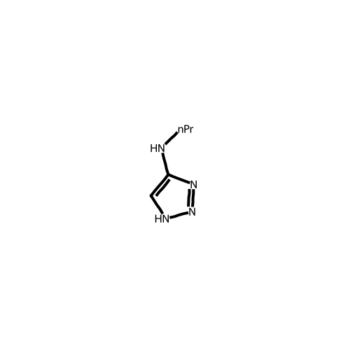 CCCNc1c[nH]nn1